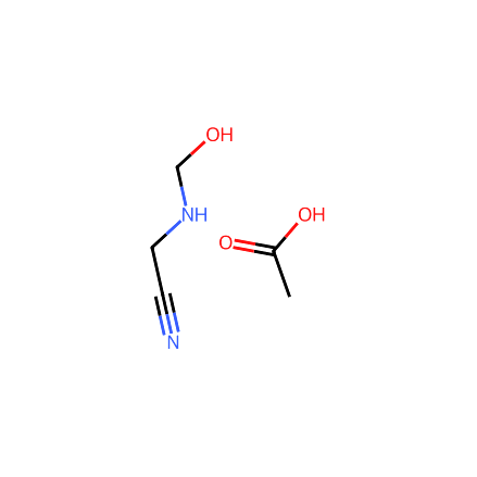 CC(=O)O.N#CCNCO